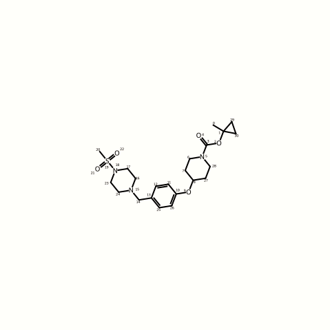 CC1(OC(=O)N2CCC(Oc3ccc(CN4CCN(S(C)(=O)=O)CC4)cc3)CC2)CC1